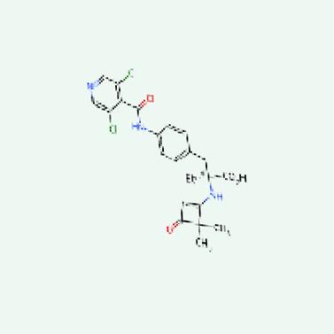 CC[C@@](Cc1ccc(NC(=O)c2c(Cl)cncc2Cl)cc1)(NC1=CC(=O)C1(C)C)C(=O)O